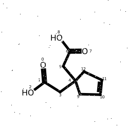 O=C(O)CC1(CC(=O)O)CC=CC1